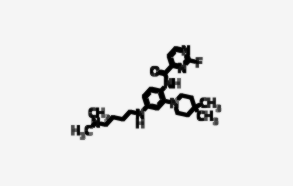 CN(C)CCCCNc1ccc(NC(=O)c2ccnc(F)n2)c(N2CCC(C)(C)CC2)c1